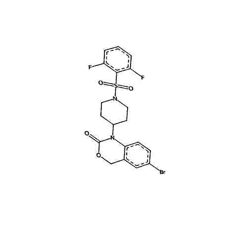 O=C1OCc2cc(Br)ccc2N1C1CCN(S(=O)(=O)c2c(F)cccc2F)CC1